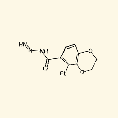 CCc1c(C(=O)NN=N)ccc2c1OCCO2